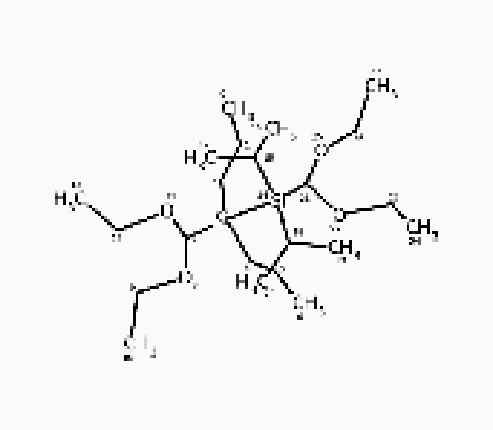 CCC[Si](CCC)(C(OCC)OCC)[Si](C(C)C)(C(C)C)C(OCC)OCC